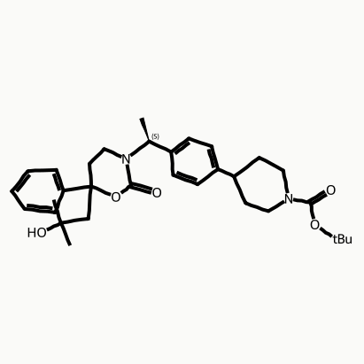 C[C@@H](c1ccc(C2CCN(C(=O)OC(C)(C)C)CC2)cc1)N1CCC(CC(C)(C)O)(c2ccccc2)OC1=O